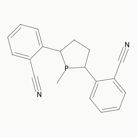 CP1C(c2ccccc2C#N)CCC1c1ccccc1C#N